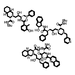 CC(C)(C)NC(=O)[C@@H]1CN(Cc2cccnc2)CCN1C[C@@H](O)C[C@@H](Cc1ccccc1)C(=O)N[C@H]1c2ccccc2C[C@H]1O.CC(C)(C)NC(=O)[C@@H]1C[C@@H]2CCCC[C@@H]2CN1C[C@@H](O)[C@H](Cc1ccccc1)NC(=O)[C@H](CC(N)=O)NC(=O)c1ccc2ccccc2n1.Cc1c(O)cccc1C(=O)N[C@@H](CSc1ccccc1)[C@H](O)CN1C[C@H]2CCCC[C@H]2C[C@H]1C(=O)NC(C)(C)C